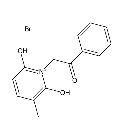 Cc1ccc(O)[n+](CC(=O)c2ccccc2)c1O.[Br-]